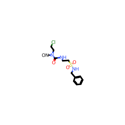 O=NN(CCCl)C(=O)NCCS(=O)(=O)NCc1ccccc1